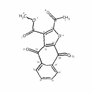 COC(=O)c1c(C(C)=O)oc2c1C(=O)c1ccccc1C2=O